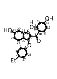 CCc1ccc(Oc2c(C(=O)c3ccc(O)cc3C)sc3cc(O)ccc23)cc1